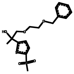 CC(O)(COCCOCc1ccccc1)c1ccc(S(C)(=O)=O)s1